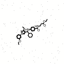 CCOC(=O)CCNC(=O)c1ccc(NC(c2cn(-c3cccc(OCC)c3)nc2CC)C2CCCCC2)cc1